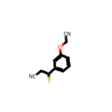 N#CCOc1cccc(C(F)CC#N)c1